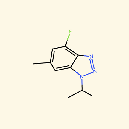 Cc1cc(F)c2nnn(C(C)C)c2c1